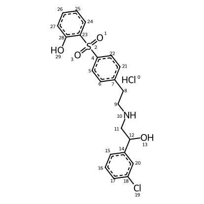 Cl.O=S(=O)(c1ccc(CCNCC(O)c2cccc(Cl)c2)cc1)c1ccccc1O